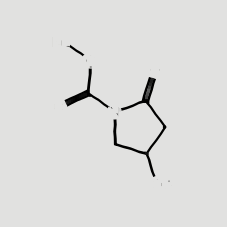 CC(=O)OC1CC(=O)N(C(=O)OC(C)(C)C)C1